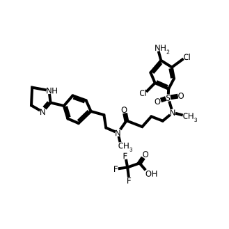 CN(CCc1ccc(C2=NCCN2)cc1)C(=O)CCCN(C)S(=O)(=O)c1cc(Cl)c(N)cc1Cl.O=C(O)C(F)(F)F